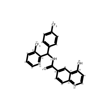 O=C(NC(c1ccc(C(F)(F)F)cc1)c1ncccc1C(F)(F)F)c1ccc2nccc(O)c2c1